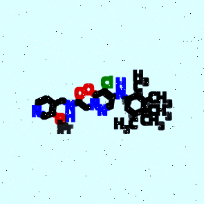 CC(C)Oc1cnccc1CNC(=O)Cn1ncc(N[C@@H]2C[C@H](C)C(C)(C)[C@H](C)[C@H]2C)c(Cl)c1=O